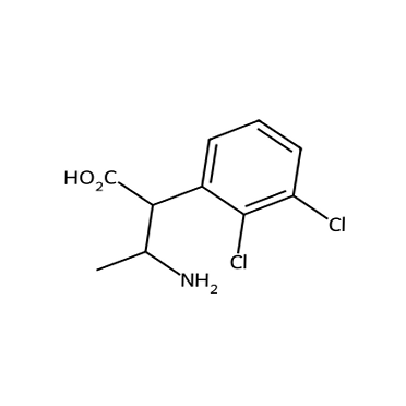 CC(N)C(C(=O)O)c1cccc(Cl)c1Cl